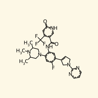 CC1CN(c2cc(F)c(C3=CCN(c4ncccn4)C3)cc2NC(=O)c2c[nH]c(=O)cc2C(F)(F)F)CC(C)N1C